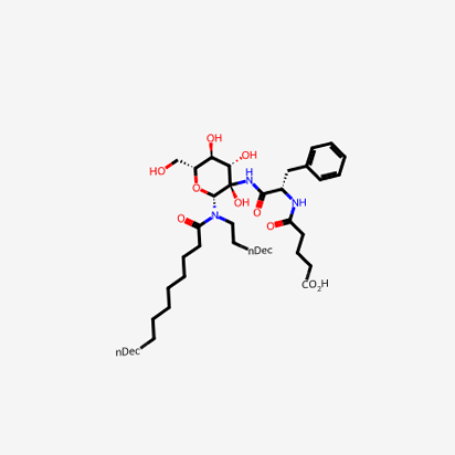 CCCCCCCCCCCCCCCCCC(=O)N(CCCCCCCCCCCC)[C@@H]1O[C@H](CO)[C@@H](O)[C@H](O)[C@]1(O)NC(=O)[C@H](Cc1ccccc1)NC(=O)CCCC(=O)O